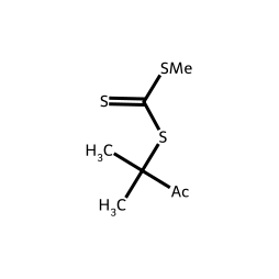 CSC(=S)SC(C)(C)C(C)=O